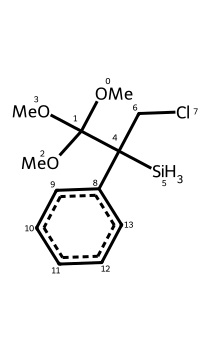 COC(OC)(OC)C([SiH3])(CCl)c1ccccc1